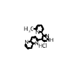 Cc1cccc(-c2n[nH]cc2-c2ccc3ncccc3n2)n1.Cl